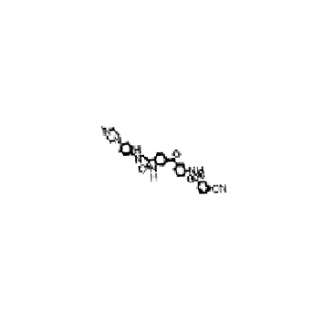 CN1CCN(c2ccc(NC=C3C(=O)Nc4cc(C(=O)c5cccc(NS(=O)(=O)c6cccc(C#N)c6)c5)ccc43)cc2)CC1